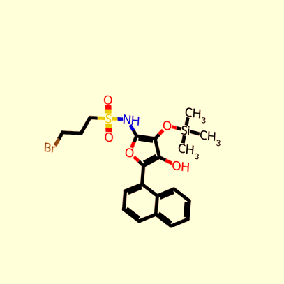 C[Si](C)(C)Oc1c(NS(=O)(=O)CCCBr)oc(-c2cccc3ccccc23)c1O